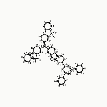 CC1(C)c2ccccc2-c2ccc(N(c3ccc4c(c3)C(C)(C)c3ccccc3-4)c3ccc4c(c3)oc3cc(-c5nc(-c6ccccc6)nc(-c6ccccc6)n5)ccc34)cc21